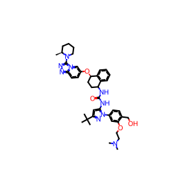 C[C@H]1CCCCN1c1nnc2ccc(O[C@@H]3CCC(NC(=O)Nc4cc(C(C)(C)C)nn4-c4ccc(CO)c(OCCN(C)C)c4)c4ccccc43)cn12